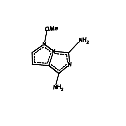 COn1ccc2c(N)nc(N)n21